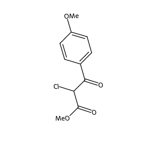 COC(=O)C(Cl)C(=O)c1ccc(OC)cc1